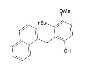 CCCCc1c(OC)ccc(O)c1Cc1cccc2ccccc12